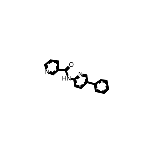 O=C(Nc1ccc(-c2ccccc2)cn1)c1cccnc1